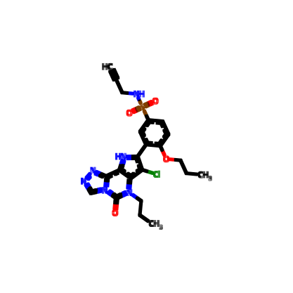 C#CCNS(=O)(=O)c1ccc(OCCC)c(-c2[nH]c3c(c2Cl)n(CCC)c(=O)n2cnnc32)c1